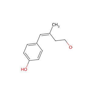 CC(=Cc1ccc(O)cc1)CC[O]